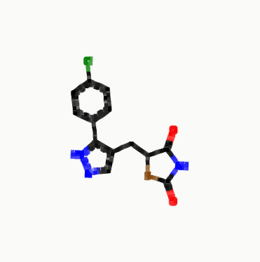 O=C1NC(=O)C(Cc2cn[nH]c2-c2ccc(Cl)cc2)S1